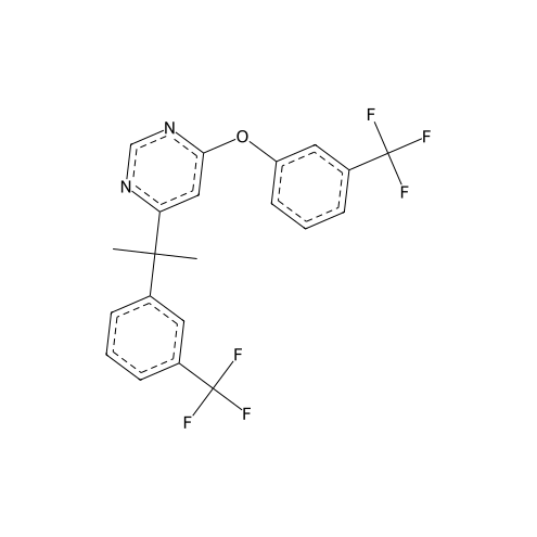 CC(C)(c1cccc(C(F)(F)F)c1)c1cc(Oc2cccc(C(F)(F)F)c2)ncn1